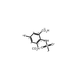 CS(=O)(=O)Nc1c(C(=O)O)cc(F)cc1C(=O)O